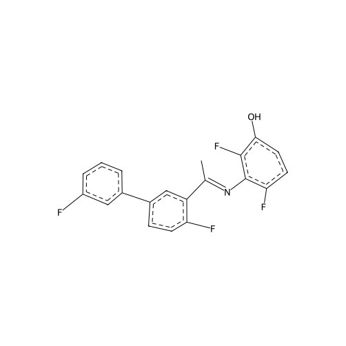 CC(=Nc1c(F)ccc(O)c1F)c1cc(-c2cccc(F)c2)ccc1F